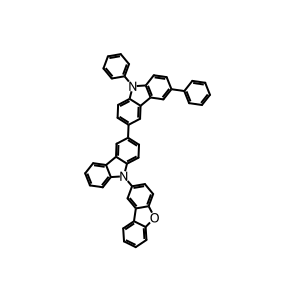 c1ccc(-c2ccc3c(c2)c2cc(-c4ccc5c(c4)c4ccccc4n5-c4ccc5oc6ccccc6c5c4)ccc2n3-c2ccccc2)cc1